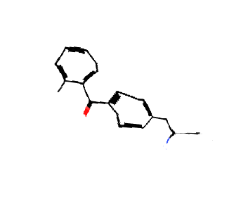 N[C@@H](Cc1ccc(C(=O)c2ccccc2C(=O)O)cc1)C(=O)O